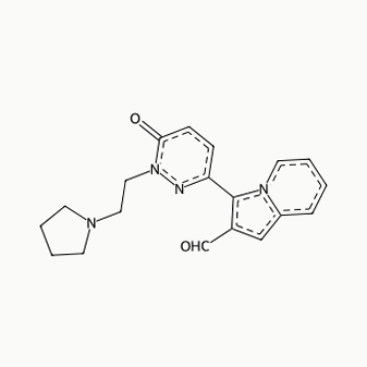 O=Cc1cc2ccccn2c1-c1ccc(=O)n(CCN2CCCC2)n1